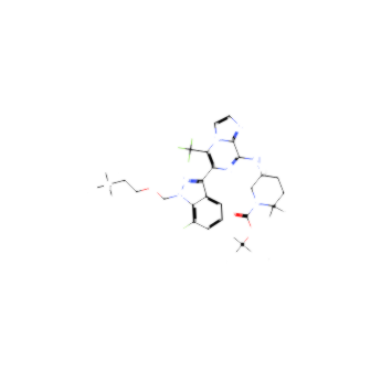 CC(C)(C)OC(=O)N1C[C@@H](Nc2nc(-c3nn(COCC[Si](C)(C)C)c4c(F)cccc34)c(C(F)(F)F)n3ccnc23)CCC1(C)C